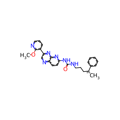 COc1ncccc1-c1cnc2ccc(NC(=O)NCCC[C@@H](C)c3ccccc3)nc2n1